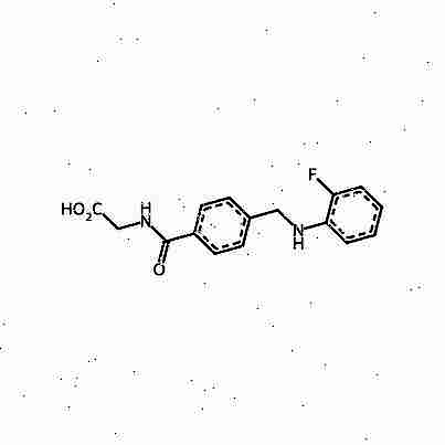 O=C(O)CNC(=O)c1ccc(CNc2ccccc2F)cc1